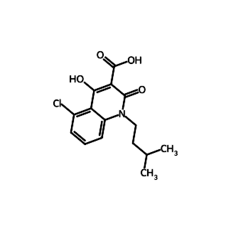 CC(C)CCn1c(=O)c(C(=O)O)c(O)c2c(Cl)cccc21